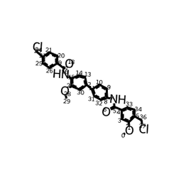 COc1cc(C(=O)Nc2ccc(-c3ccc(NC(=O)c4ccc(CCl)cc4)c(OC)c3)cc2)ccc1CCl